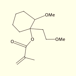 C=C(C)C(=O)OC1(CCOC)CCCCC1OC